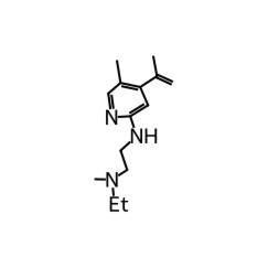 C=C(C)c1cc(NCCN(C)CC)ncc1C